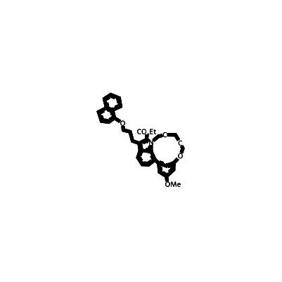 CCOC(=O)c1c(CCCOc2cccc3ccccc23)c2cccc3c2n1CCCCCOc1cc(OC)cc-3c1